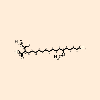 CCCCCC(CCCCCCCCCCC(C(=O)O)C(=O)OC)OC